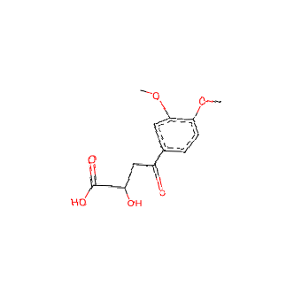 COc1ccc(C(=O)CC(O)C(=O)O)cc1OC